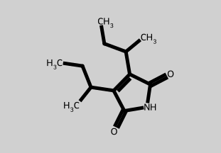 CCC(C)C1=C(C(C)CC)C(=O)NC1=O